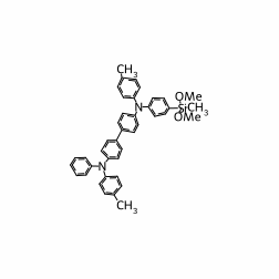 CO[Si](C)(OC)c1ccc(N(c2ccc(C)cc2)c2ccc(-c3ccc(N(c4ccccc4)c4ccc(C)cc4)cc3)cc2)cc1